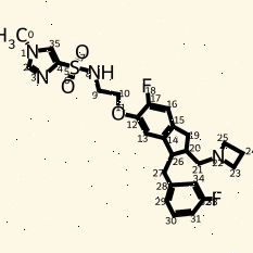 Cn1cnc(S(=O)(=O)NCCOc2cc3c(cc2F)CC(CN2CCC2)C3Cc2cccc(F)c2)c1